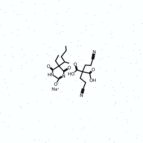 CCCC(C)C1(CC)C(=O)N=C([O-])NC1=O.N#CCCC(CCC#N)(C(=O)O)C(=O)O.[Na+]